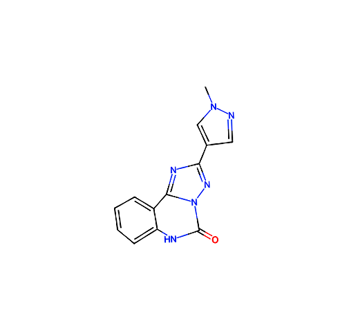 Cn1cc(-c2nc3c4ccccc4[nH]c(=O)n3n2)cn1